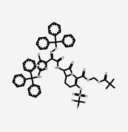 CC(C)(C)C(=O)OCOC(=O)C1=C(OS(=O)(=O)C(F)(F)F)CCC2C(NC(=O)/C(=N\OC(c3ccccc3)(c3ccccc3)c3ccccc3)c3nc(NC(c4ccccc4)(c4ccccc4)c4ccccc4)sc3Cl)C(=O)N12